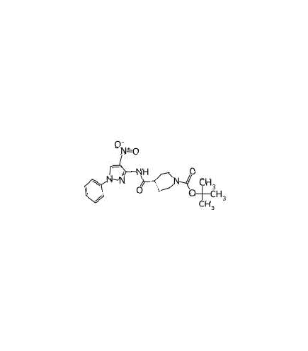 CC(C)(C)OC(=O)N1CCC(C(=O)Nc2nn(-c3ccccc3)cc2[N+](=O)[O-])CC1